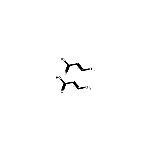 C/C=C/C(=O)O.C/C=C/C(=O)O